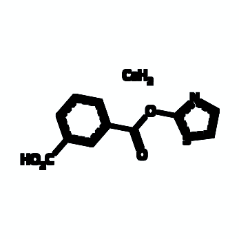 O=C(O)c1cccc(C(=O)Oc2nccs2)c1.[CaH2]